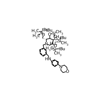 CC(C)(C)[Si](C)(C)OC[C@@H]1C(O[Si](C)(C)C(C)(C)C)C(O[Si](C)(C)C(C)(C)C)C(O[Si](C)(C)C(C)(C)C)CN1Cc1cccc(CNc2ccc(N3CCOCC3)cc2)c1